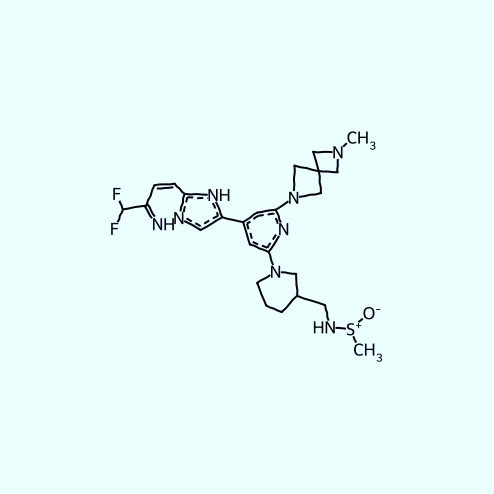 CN1CC2(C1)CN(c1cc(-c3cnc(/C=C\C(=N)C(F)F)[nH]3)cc(N3CCCC(CN[S+](C)[O-])C3)n1)C2